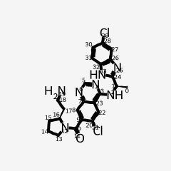 C[C@@H](Nc1ncnc2cc(C(=O)N3CCC[C@H]3CCN)c(Cl)cc12)c1nc2cc(Cl)ccc2[nH]1